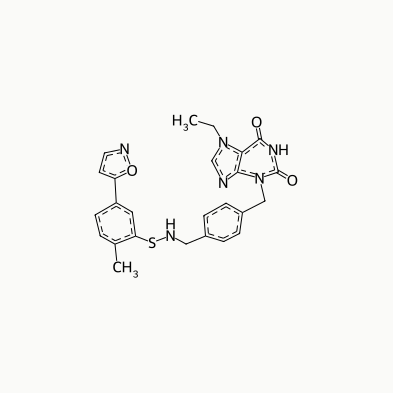 CCn1cnc2c1c(=O)[nH]c(=O)n2Cc1ccc(CNSc2cc(-c3ccno3)ccc2C)cc1